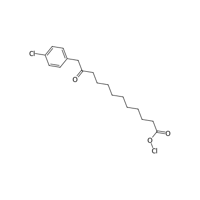 O=C(CCCCCCCCCC(=O)OCl)Cc1ccc(Cl)cc1